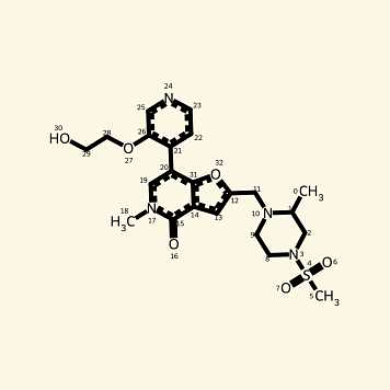 CC1CN(S(C)(=O)=O)CCN1Cc1cc2c(=O)n(C)cc(-c3ccncc3OCCO)c2o1